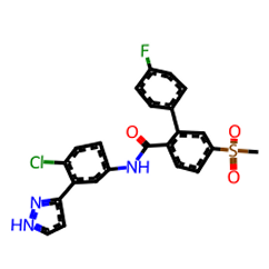 CS(=O)(=O)c1ccc(C(=O)Nc2ccc(Cl)c(-c3cc[nH]n3)c2)c(-c2ccc(F)cc2)c1